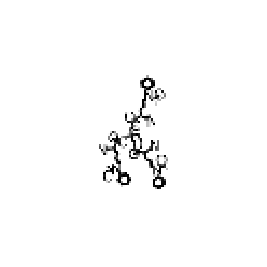 CCC(COC(=O)/C(C#N)=C/C=C/N(C(C)=O)c1ccccc1)(COC(=O)/C(C#N)=C/C=C/N(C(C)=O)c1ccccc1)COC(=O)/C(C#N)=C/C=C/N(C(C)=O)c1ccccc1